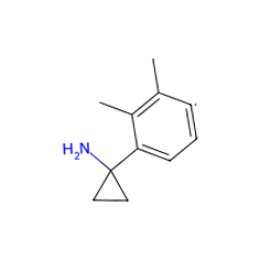 Cc1[c]ccc(C2(N)CC2)c1C